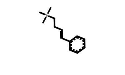 C[Si](C)(C)CCC=Cc1ccccc1